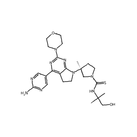 CC(C)(CO)NC(=S)N1CC[C@](C)(N2CCc3c(-c4cnc(N)nc4)nc(N4CCOCC4)nc32)C1